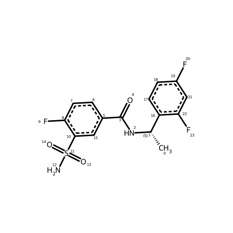 C[C@H](NC(=O)c1ccc(F)c(S(N)(=O)=O)c1)c1ccc(F)cc1F